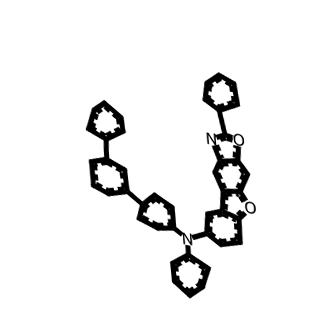 c1ccc(-c2cccc(-c3ccc(N(c4ccccc4)c4ccc5oc6cc7oc(-c8ccccc8)nc7cc6c5c4)cc3)c2)cc1